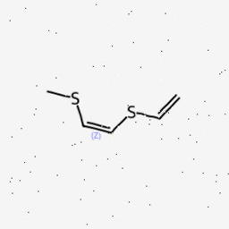 C=CS/C=C\SC